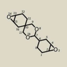 C1CC2OC2CC1C1OCC2(CCC3OC3C2)CO1